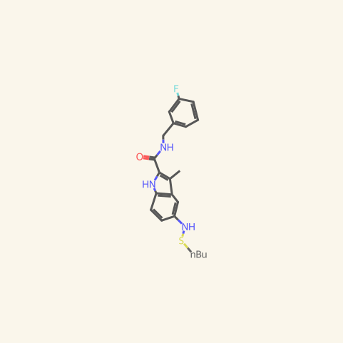 CCCCSNc1ccc2[nH]c(C(=O)NCc3cccc(F)c3)c(C)c2c1